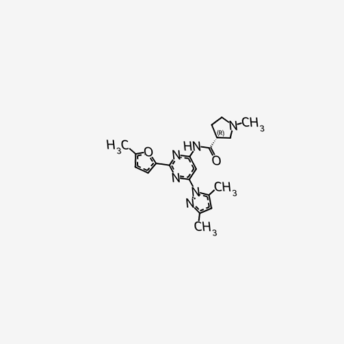 Cc1cc(C)n(-c2cc(NC(=O)[C@@H]3CCN(C)C3)nc(-c3ccc(C)o3)n2)n1